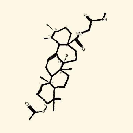 CNC(=O)CNC(=O)[C@]12CC[C@@H](C)[C@H](C)C1C1=CCC3[C@@]4(C)CC[C@H](OC(C)=O)C(C)(C)C4CC[C@@]3(C)[C@]1(C)CC2